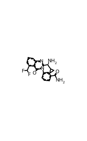 NC(=O)c1cccc(-n2c([C@@H](N)C3CC3)nc3cccc(C(F)F)c3c2=O)c1